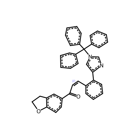 O=C(/C=C\c1ccccc1-c1cn(C(c2ccccc2)(c2ccccc2)c2ccccc2)cn1)c1ccc2c(c1)CCO2